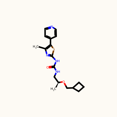 Cc1nc(NC(=O)NC[C@H](C)OCC2CCC2)sc1-c1ccncc1